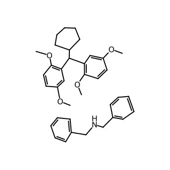 COc1ccc(OC)c(C(c2cc(OC)ccc2OC)C2CCCCC2)c1.c1ccc(CNCc2ccccc2)cc1